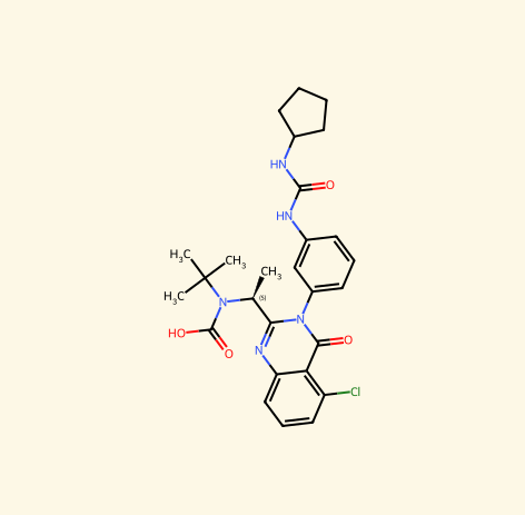 C[C@@H](c1nc2cccc(Cl)c2c(=O)n1-c1cccc(NC(=O)NC2CCCC2)c1)N(C(=O)O)C(C)(C)C